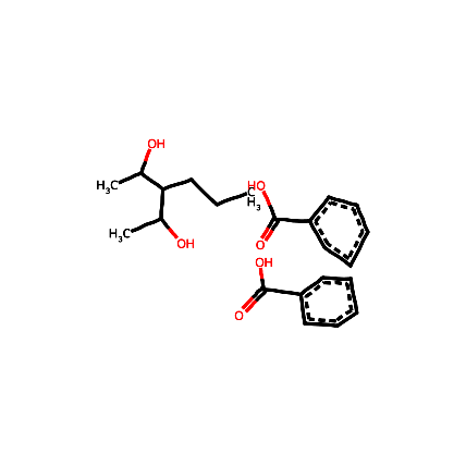 CCCC(C(C)O)C(C)O.O=C(O)c1ccccc1.O=C(O)c1ccccc1